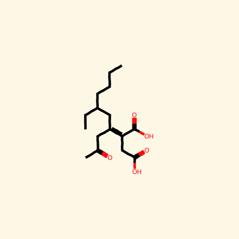 CCCCC(CC)CC(CC(C)=O)=C(CC(=O)O)C(=O)O